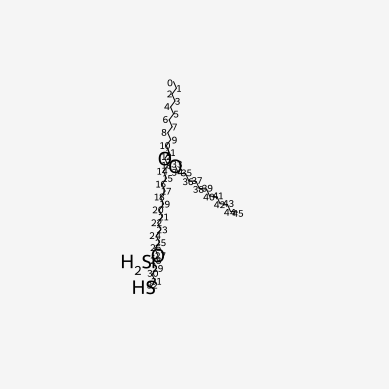 CCCCCCCCCCCCOC(CCCCCCCCCCCCCO[SiH2]CCCS)OCCCCCCCCCCCC